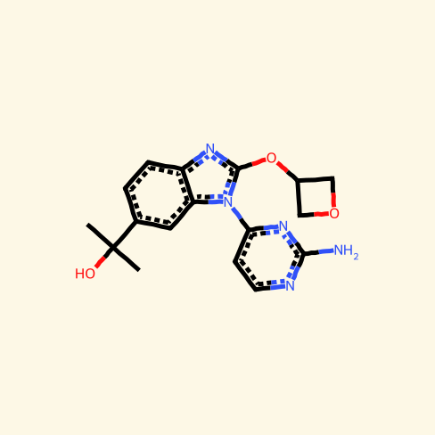 CC(C)(O)c1ccc2nc(OC3COC3)n(-c3ccnc(N)n3)c2c1